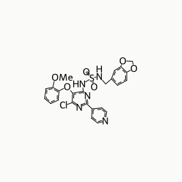 COc1ccccc1Oc1c(Cl)nc(-c2ccncc2)nc1NS(=O)(=O)NCc1ccc2c(c1)OCO2